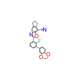 N#Cc1c2c(cc3nc(-c4cccc(-c5ccc6c(c5)OCCO6)c4F)oc13)CCC2